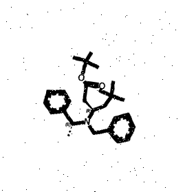 C[C@H](c1ccccc1)N(Cc1ccccc1)[C@@H](CC(=O)OC(C)(C)C)CC(C)(C)C